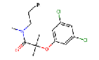 CC(C)CCN(C)C(=O)C(C)(C)Oc1cc(Cl)cc(Cl)c1